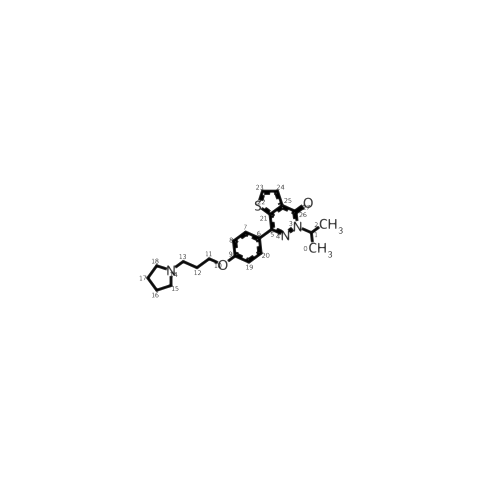 CC(C)n1nc(-c2ccc(OCCCN3CCCC3)cc2)c2sccc2c1=O